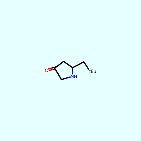 CC(C)(C)CC1CC(=O)CN1